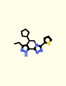 CCc1n[nH]c2c1C(C1CCCC1)Cn1c(-c3cccs3)nnc1-2